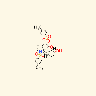 Cc1ccc(S(=O)(=O)Oc2ccc3c4c2O[C@@H]2[C@@H](O)CC[C@H](C=C3)[C@]42CCN(C)S(=O)(=O)c2ccc(C)cc2)cc1